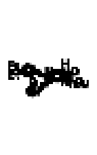 CCCCc1nc2cc3c(cc2[nH]c1=O)nc(/C=C/c1ccc(N(CC)CC)cc1)n3CCCN1CCCC1=O